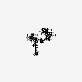 COc1cccc2c1C(=O)c1c(O)c3c(c(O)c1C2=O)C[C@@](O)(C(=O)CO)CC3OC1CC(NCCCC2OCCN2C(=O)OCc2ccc(O[C@@H]3O[C@H](C(=O)O)[C@@H](O)[C@H](O)[C@H]3O)c(NC(=O)CCNC(=O)CCCCCN3C(=O)C=CC3=O)c2)C(O)C(C)O1